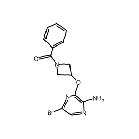 Nc1ncc(Br)nc1OC1CN(C(=O)c2ccccc2)C1